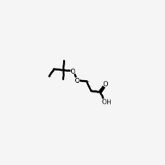 CCC(C)(C)OO[CH]CC(=O)O